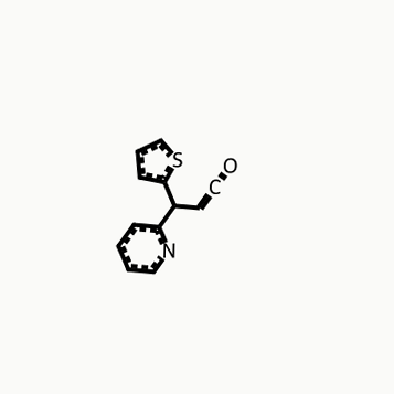 O=C=CC(c1ccccn1)c1cccs1